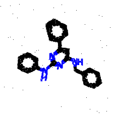 c1ccc(CNc2cc(-c3ccccc3)nc(Nc3ccccc3)n2)cc1